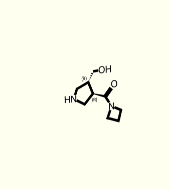 O=C([C@H]1CNC[C@@H]1CO)N1CCC1